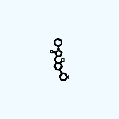 O=C1C(Cc2ccc(-c3cccnc3)cc2Cl)CCN1C1CC=CCC1